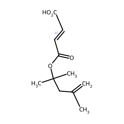 C=C(C)CC(C)(C)OC(=O)/C=C/C(=O)O